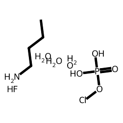 CCCCN.F.O.O.O.O=P(O)(O)OCl